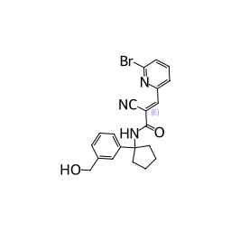 N#C/C(=C\c1cccc(Br)n1)C(=O)NC1(c2cccc(CO)c2)CCCC1